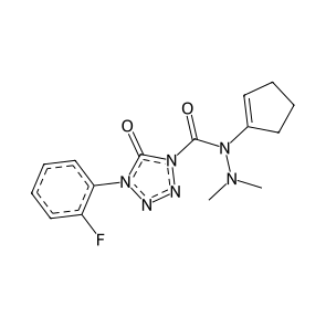 CN(C)N(C(=O)n1nnn(-c2ccccc2F)c1=O)C1=CCCC1